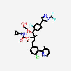 Cc1cccnc1-c1cc([C@@H](COC(=O)NC2CC2)CC(C)(C)[C@@H](OCCO)c2ccc(-c3cnn(C(F)F)c3)cc2F)ccc1Cl